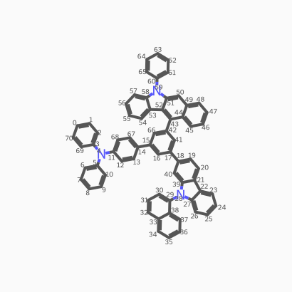 c1ccc(N(c2ccccc2)c2ccc(-c3cc(-c4ccc5c6ccccc6n(-c6cccc7ccccc67)c5c4)cc(-c4c5ccccc5cc5c4c4ccccc4n5-c4ccccc4)c3)cc2)cc1